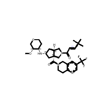 CO[C@@H]1COCC[C@@H]1N[C@@H]1C[C@H]2CN(C(=O)/C=C/C(C)(C)C)C[C@@]2(C(=O)N2CCc3ncc(C(F)(F)F)cc3C2)C1